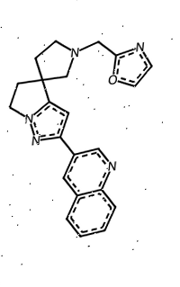 c1ccc2ncc(-c3cc4n(n3)CCC43CCN(Cc4ncco4)C3)cc2c1